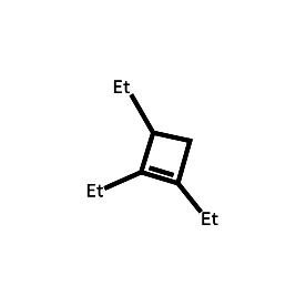 CCC1=C(CC)C(CC)C1